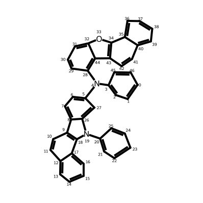 c1ccc(N(c2ccc3c4ccc5ccccc5c4n(-c4ccccc4)c3c2)c2cccc3oc4c5ccccc5ccc4c23)cc1